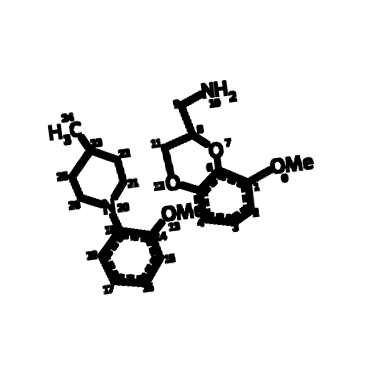 COc1cccc2c1OC(CN)CO2.COc1ccccc1N1CCC(C)CC1